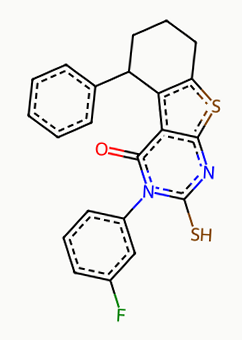 O=c1c2c3c(sc2nc(S)n1-c1cccc(F)c1)CCCC3c1ccccc1